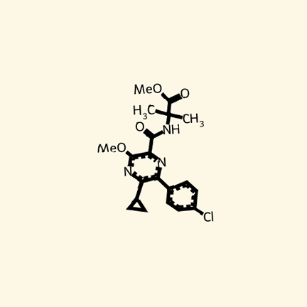 COC(=O)C(C)(C)NC(=O)c1nc(-c2ccc(Cl)cc2)c(C2CC2)nc1OC